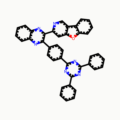 c1ccc(-c2nc(-c3ccccc3)nc(-c3ccc(-c4nc5ccccc5nc4-c4cc5oc6ccccc6c5cn4)cc3)n2)cc1